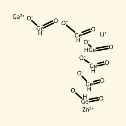 [Ga+3].[Li+].[O]=[GeH][O-].[O]=[GeH][O-].[O]=[GeH][O-].[O]=[GeH][O-].[O]=[GeH][O-].[O]=[GeH][O-].[Zn+2]